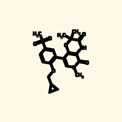 Cn1cc(-c2cc(S(C)(=O)=O)ccc2OCC2CC2)c2c(c1=O)NC(=O)C(C)(C)O2